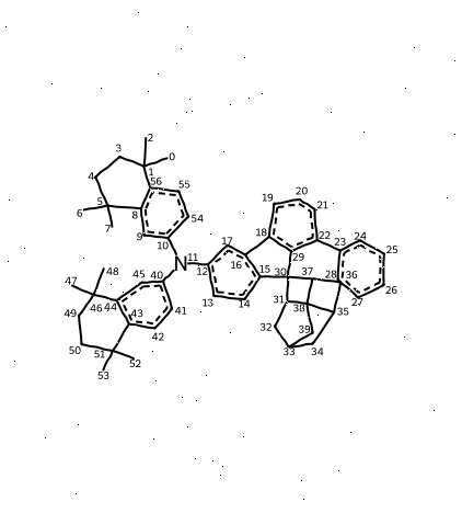 CC1(C)CCC(C)(C)c2cc(N(c3ccc4c(c3)-c3cccc(-c5ccccc5)c3C43C4CC5CC6CC3C64C5)c3ccc4c(c3)C(C)(C)CCC4(C)C)ccc21